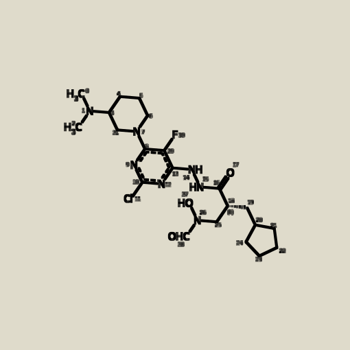 CN(C)C1CCCN(c2nc(Cl)nc(NNC(=O)[C@H](CC3CCCC3)CN(O)C=O)c2F)C1